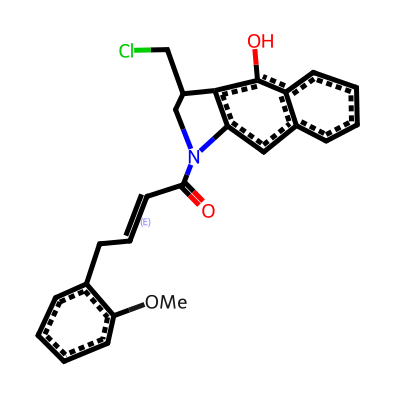 COc1ccccc1C/C=C/C(=O)N1CC(CCl)c2c1cc1ccccc1c2O